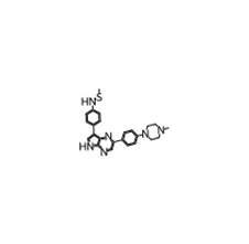 CSNc1ccc(-c2c[nH]c3ncc(-c4ccc(N5CCN(C)CC5)cc4)nc23)cc1